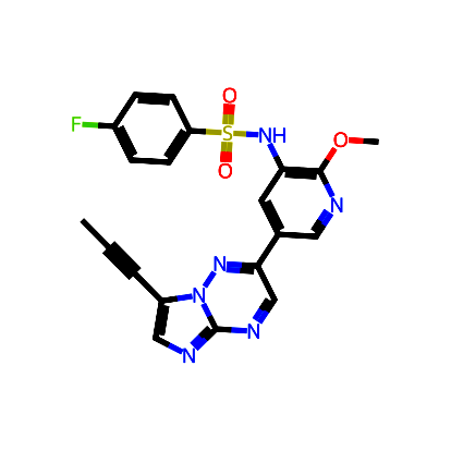 CC#Cc1cnc2ncc(-c3cnc(OC)c(NS(=O)(=O)c4ccc(F)cc4)c3)nn12